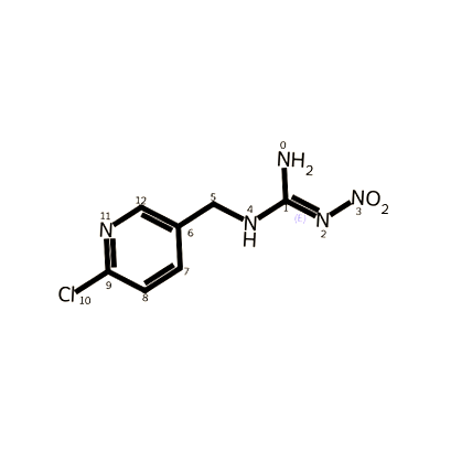 N/C(=N\[N+](=O)[O-])NCc1ccc(Cl)nc1